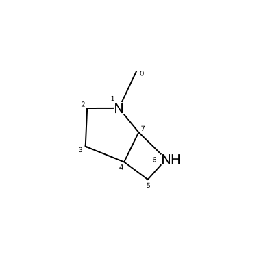 CN1CCC2CNC21